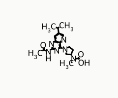 CC(=O)Nc1nc(N2CCC(N(C)C(=O)O)C2)c2ncc(C(C)C)cc2n1